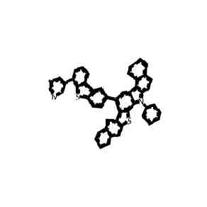 c1ccc(-n2c3ccc4ccccc4c3c3cc(-c4ccc5sc6c(-c7cccnc7)cccc6c5c4)c4c5cc6ccccc6cc5sc4c32)cc1